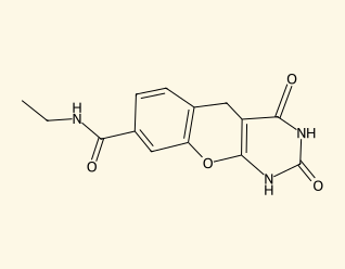 CCNC(=O)c1ccc2c(c1)Oc1[nH]c(=O)[nH]c(=O)c1C2